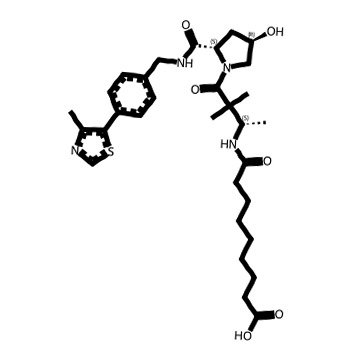 Cc1ncsc1-c1ccc(CNC(=O)[C@@H]2C[C@@H](O)CN2C(=O)C(C)(C)[C@H](C)NC(=O)CCCCCCCC(=O)O)cc1